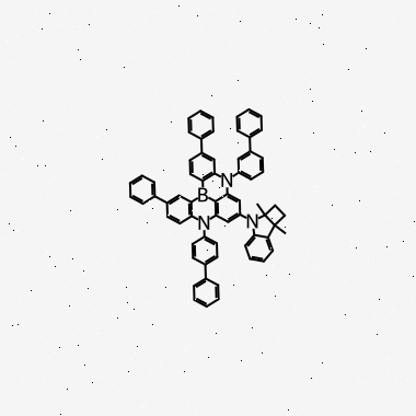 CC12CCC1(C)N(c1cc3c4c(c1)N(c1cccc(-c5ccccc5)c1)c1cc(-c5ccccc5)ccc1B4c1cc(-c4ccccc4)ccc1N3c1ccc(-c3ccccc3)cc1)c1ccccc12